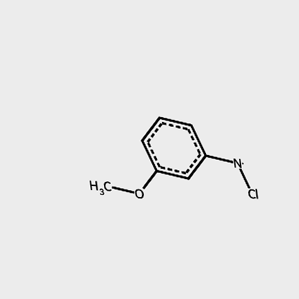 COc1cccc([N]Cl)c1